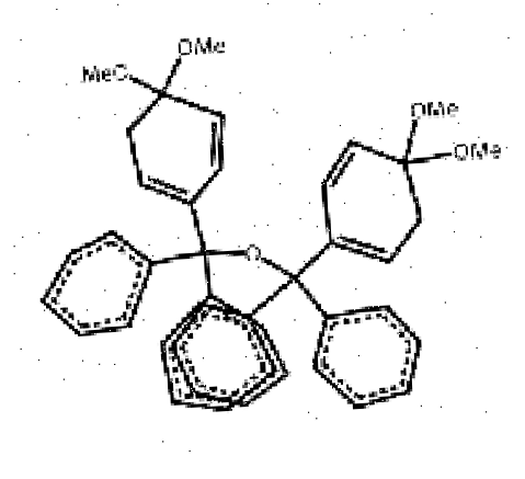 COC1(OC)C=CC(C(OC(C2=CCC(OC)(OC)C=C2)(c2ccccc2)c2ccccc2)(c2ccccc2)c2ccccc2)=CC1